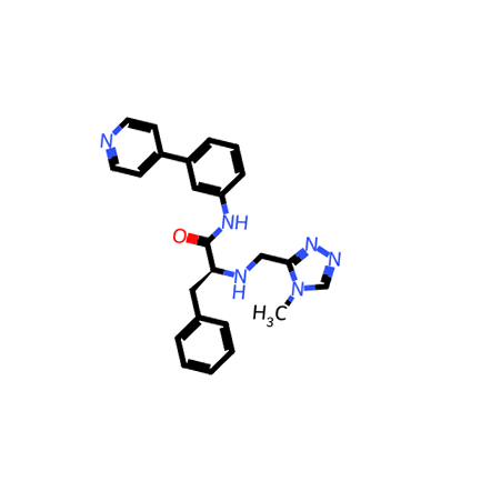 Cn1cnnc1CN[C@@H](Cc1ccccc1)C(=O)Nc1cccc(-c2ccncc2)c1